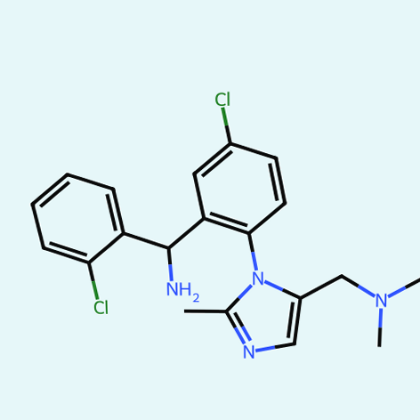 Cc1ncc(CN(C)C)n1-c1ccc(Cl)cc1C(N)c1ccccc1Cl